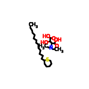 CCCCCCCCCCCCCCC1CCCCCS1.CCN(CC)C(C(=O)O)C(O)C(=O)O